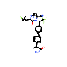 CC(C(N)=O)c1ccc(-c2ccc([C@H](N(C(=O)[C@@H](N)CC(C)(C)F)C3(C#N)CC3)C(F)(F)F)cc2)cc1